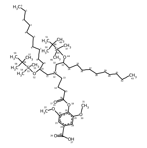 CCCCCCCCCCC(CN(CCCC(=O)Oc1c(OC)cc(C(=O)O)cc1OC)CC(CCCCCCCCCC)O[Si](C)(C)C(C)(C)C)O[Si](C)(C)C(C)(C)C